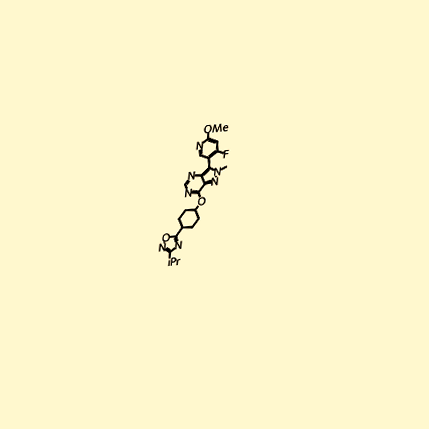 COc1cc(F)c(-c2c3ncnc(OC4CCC(c5nc(C(C)C)no5)CC4)c3nn2C)cn1